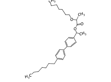 CCCCCCCOC(C)C(=O)OC(C)c1ccc(-c2ccc(CCCCCCC)cc2)cc1